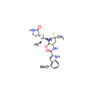 C#C[C@H](C[C@@H]1CCNC1=O)NC(=O)C(CC(C)(C)F)NC(=O)c1cc2c(OC)cccc2[nH]1